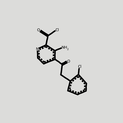 Nc1c(C(=O)Cc2ccccc2Cl)ccnc1C(=O)Cl